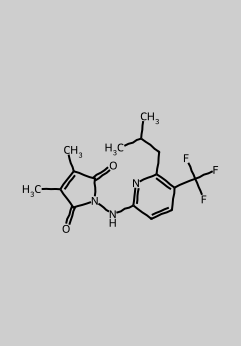 CC1=C(C)C(=O)N(Nc2ccc(C(F)(F)F)c(CC(C)C)n2)C1=O